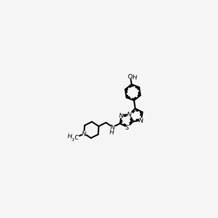 CN1CCC(CNc2nn3c(-c4ccc(O)cc4)cnc3s2)CC1